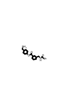 CC(C)C(=O)NCc1cccc(C(=O)Oc2ccc(CN)cc2)c1